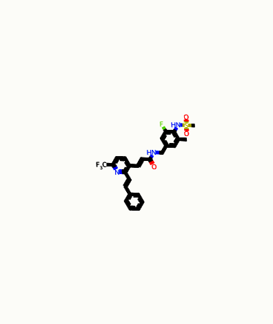 Cc1cc(CNC(=O)C=Cc2ccc(C(F)(F)F)nc2C=Cc2ccccc2)cc(F)c1NS(C)(=O)=O